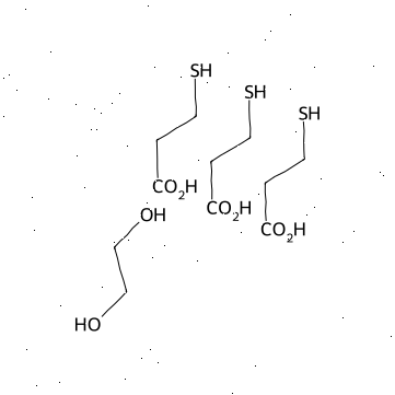 O=C(O)CCS.O=C(O)CCS.O=C(O)CCS.OCCO